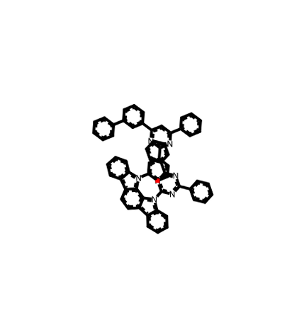 c1ccc(-c2cccc(-c3cc(-c4ccccc4)nc(-c4cccc(-n5c6ccccc6c6ccc7c8ccccc8n(-c8nc(-c9ccccc9)nc(-c9ccccc9)n8)c7c65)c4)n3)c2)cc1